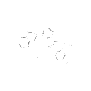 O=C(Nc1ccc(Cl)cc1C(=O)[O-])c1cccc(-c2cnc3ccccc3c2)c1.[Na+]